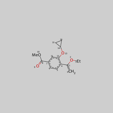 C=C(OCC)c1ccc(C(=O)OC)cc1OC1CC1